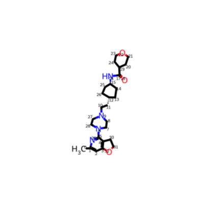 Cc1cc2c(c(N3CCN(CC[C@H]4CC[C@H](NC(=O)C5CCOCC5)CC4)CC3)n1)CCO2